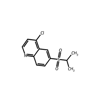 CC(C)S(=O)(=O)c1ccc2nccc(Cl)c2c1